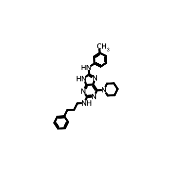 Cc1cccc(Nc2nc3c(N4CCCCC4)nc(NCCCc4ccccc4)nc3[nH]2)c1